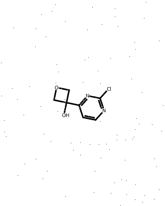 OC1(c2ccnc(Cl)n2)COC1